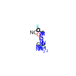 C/C(=N/N)N(N)c1nc(N2CCN(C(=O)N3N=CCC3c3cc(F)cc(C#N)c3)CC2)ncc1F